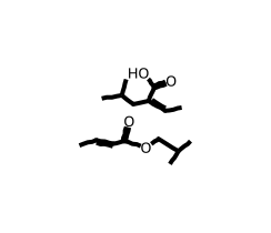 CC=C(CC(C)C)C(=O)O.CC=CC(=O)OCC(C)C